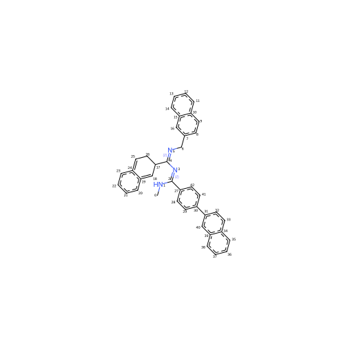 CN/C(=N\C(=N/Cc1ccc2ccccc2c1)C1C=c2ccccc2=CC1)c1ccc(-c2ccc3ccccc3c2)cc1